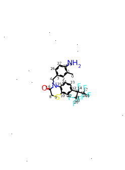 Cc1cc(CN2C(=O)CSc3cc(C(F)(C(F)(F)F)C(F)(F)F)ccc32)ccc1N